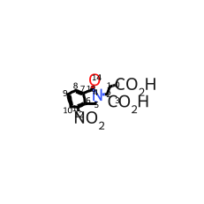 O=C(O)CC(C(=O)O)N1Cc2c(cccc2[N+](=O)[O-])C1=O